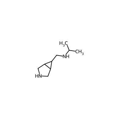 CC(C)NCC1C2CNCC21